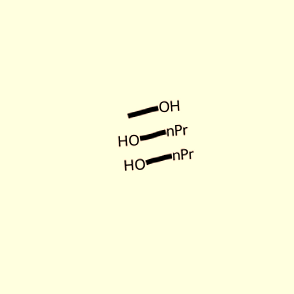 CCCO.CCCO.CO